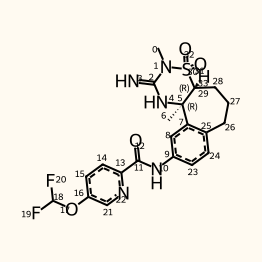 CN1C(=N)N[C@]2(C)c3cc(NC(=O)c4ccc(OC(F)F)cn4)ccc3CCC[C@H]2S1(=O)=O